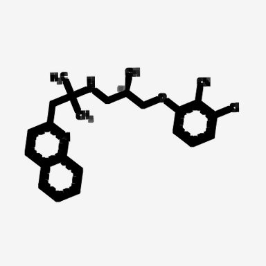 CC(C)(Cc1ccc2ccccc2n1)NC[C@@H](O)COc1cccc(Cl)c1C#N